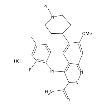 COc1cc2nnc(C(N)=O)c(Nc3ccc(C)cc3F)c2cc1C1CCN(C(C)C)CC1.Cl